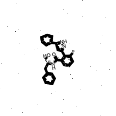 O=C(N[C@@H](CO)Cc1ccccc1)c1cccc(F)c1-c1cc(-c2ccccc2)[nH]n1